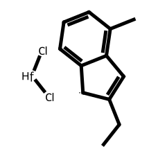 CCC1=Cc2c(C)cccc2[CH]1.[Cl][Hf][Cl]